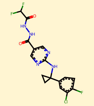 O=C(NNC(=O)C(F)F)c1cnc(NC2(c3ccc(F)c(Cl)c3)CC2)nc1